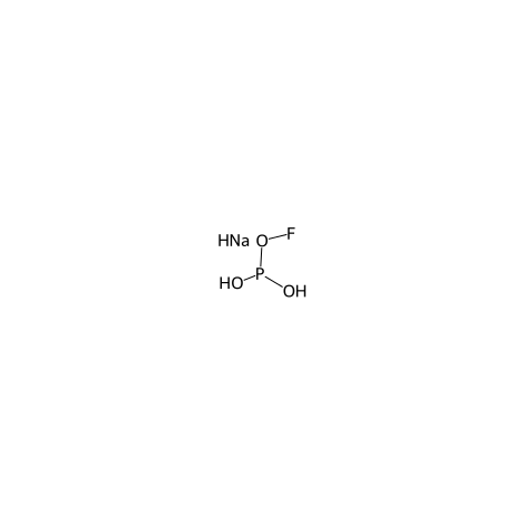 OP(O)OF.[NaH]